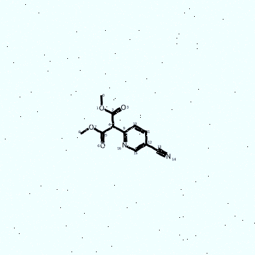 COC(=O)C(C(=O)OC)c1ccc(C#N)cn1